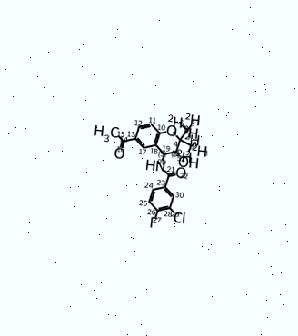 [2H]C([2H])([2H])C1(C([2H])([2H])[2H])Oc2ccc(C(C)=O)cc2[C@H](NC(=O)c2ccc(F)c(Cl)c2)[C@@H]1O